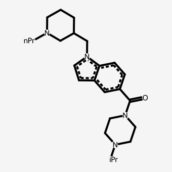 CCCN1CCCC(Cn2ccc3cc(C(=O)N4CCN(C(C)C)CC4)ccc32)C1